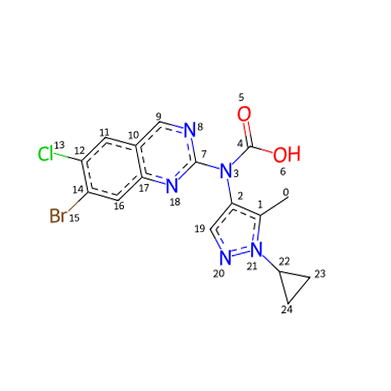 Cc1c(N(C(=O)O)c2ncc3cc(Cl)c(Br)cc3n2)cnn1C1CC1